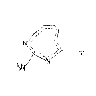 Nc1n[c]cc(Cl)n1